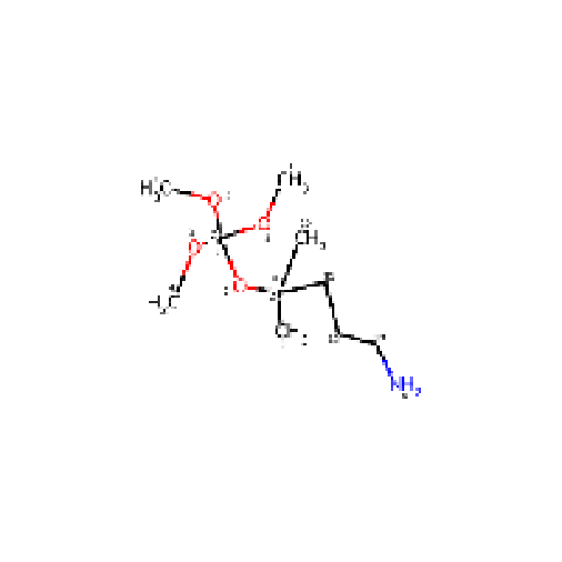 CO[Si](OC)(OC)O[Si](C)(C)CCCN